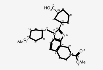 COC(=O)N1CCc2ccc3c(nc([C@@H]4CCC[C@@H](C(=O)O)C4)n3C[C@H]3CC[C@@H](OC)CC3)c2C1